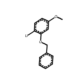 [Li][c]1ccc(OC)cc1OCc1ccccc1